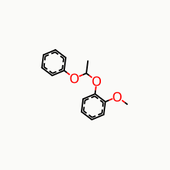 COc1ccccc1OC(C)Oc1ccccc1